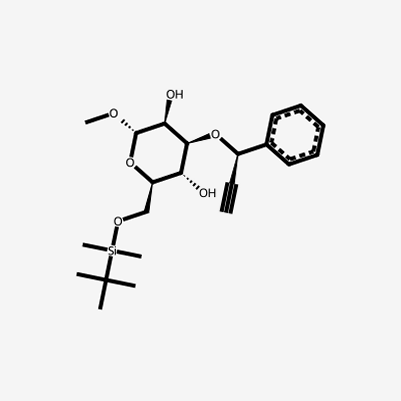 C#C[C@@H](O[C@@H]1[C@H](O)[C@@H](OC)O[C@H](CO[Si](C)(C)C(C)(C)C)[C@H]1O)c1ccccc1